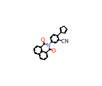 N#Cc1cc(N2C(=O)c3cccc4cccc(c34)C2=O)ccc1C1=CCC=C1